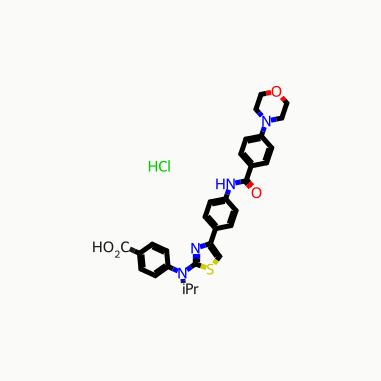 CC(C)N(c1ccc(C(=O)O)cc1)c1nc(-c2ccc(NC(=O)c3ccc(N4CCOCC4)cc3)cc2)cs1.Cl